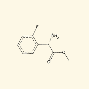 COC(=O)[C@@H](N)c1ccccc1F